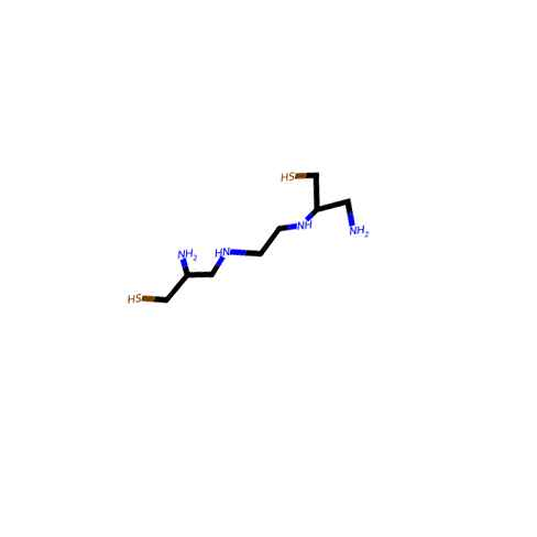 NCC(CS)NCCNCC(N)CS